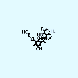 COc1c(C(C)NC2N=CN=C(N)C2C(=N)C(F)F)cc(C#N)c(C)c1C1CN(CCO)C1